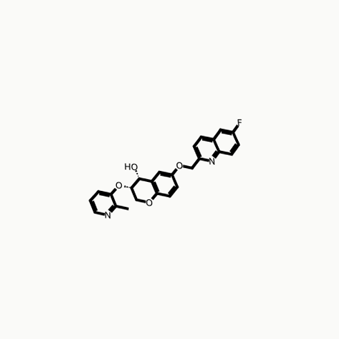 Cc1ncccc1O[C@H]1COc2ccc(OCc3ccc4cc(F)ccc4n3)cc2[C@H]1O